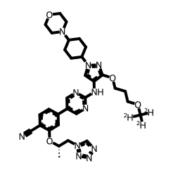 [2H]C([2H])([2H])OCCCOc1nn(C2CCC(N3CCOCC3)CC2)cc1Nc1ncc(-c2ccc(C#N)c(O[C@@H](C)Cn3cnnn3)c2)cn1